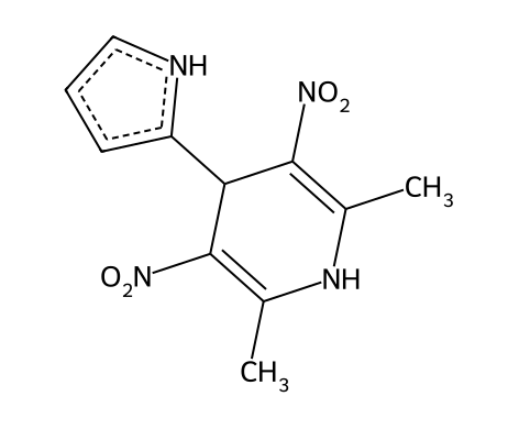 CC1=C([N+](=O)[O-])C(c2ccc[nH]2)C([N+](=O)[O-])=C(C)N1